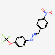 O=[N+]([O-])c1ccc(/C=N/Nc2ccc(OC(F)(F)F)cc2)cc1